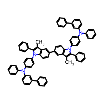 Cc1c(-c2ccccc2)n(-c2ccc(N(c3ccccc3)c3cccc(-c4ccccc4)c3)cc2)c2ccc(-c3ccc4c(c3)c(C)c(-c3ccccc3)n4-c3ccc(N(c4ccccc4)c4cccc(-c5ccccc5)c4)cc3)cc12